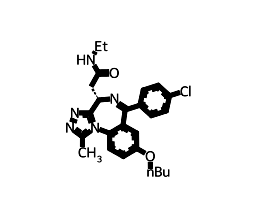 CCCCOc1ccc2c(c1)C(c1ccc(Cl)cc1)=N[C@@H](CC(=O)NCC)c1nnc(C)n1-2